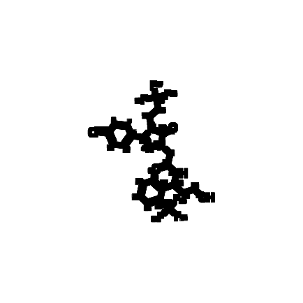 O=C(Cn1nc(-c2ccc(Cl)cc2)n(CCC(F)(F)F)c1=O)NC(CCO)c1ccccc1C(F)(F)F